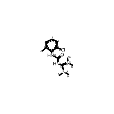 Cc1cccc(Cl)c1NC(=O)NC(N(C)C)=[N+](C)C